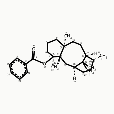 C[C@@H]1CC[C@H]2C[C@H]3[C@@](C)(CCC[C@]3(C)OC(=O)c3ccccc3)CC[C@@H]1C2(C)C